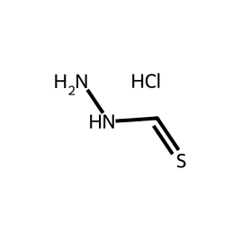 Cl.NNC=S